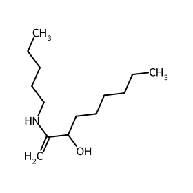 C=C(NCCCCC)C(O)CCCCCC